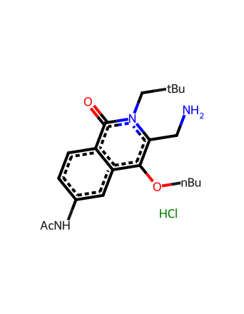 CCCCOc1c(CN)n(CC(C)(C)C)c(=O)c2ccc(NC(C)=O)cc12.Cl